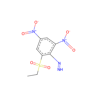 CCS(=O)(=O)c1cc([N+](=O)[O-])cc([N+](=O)[O-])c1N=N